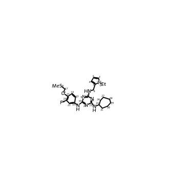 CCn1cccc1CNc1nc(Nc2ccc(OCSC)c(F)c2)nc(NC2CCCCCC2)n1